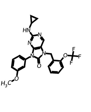 COc1cccc(-n2c(=O)n(Cc3ccccc3OC(F)(F)F)c3cnc(NC4CC4)nc32)c1